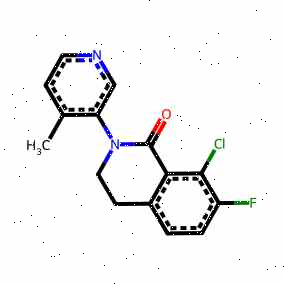 Cc1ccncc1N1CCc2ccc(F)c(Cl)c2C1=O